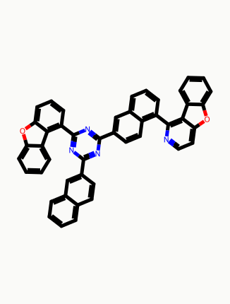 c1ccc2cc(-c3nc(-c4ccc5c(-c6nccc7oc8ccccc8c67)cccc5c4)nc(-c4cccc5oc6ccccc6c45)n3)ccc2c1